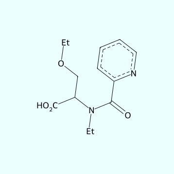 CCOCC(C(=O)O)N(CC)C(=O)c1ccccn1